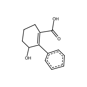 O=C(O)C1=C(c2ccccc2)C(O)CCC1